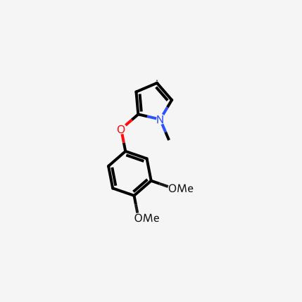 COc1ccc(Oc2c[c]cn2C)cc1OC